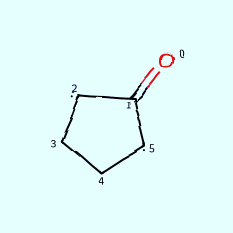 O=C1[CH]CC[CH]1